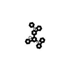 C1=CC2c3cc(-c4cc(-n5c6ccccc6c6ccccc65)cc5c4oc4ccccc45)ccc3N(c3ccccc3)C2C=C1